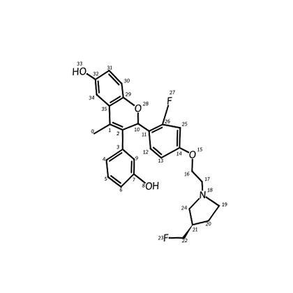 CC1=C(c2cccc(O)c2)C(c2ccc(OCCN3CC[C@@H](CF)C3)cc2F)Oc2ccc(O)cc21